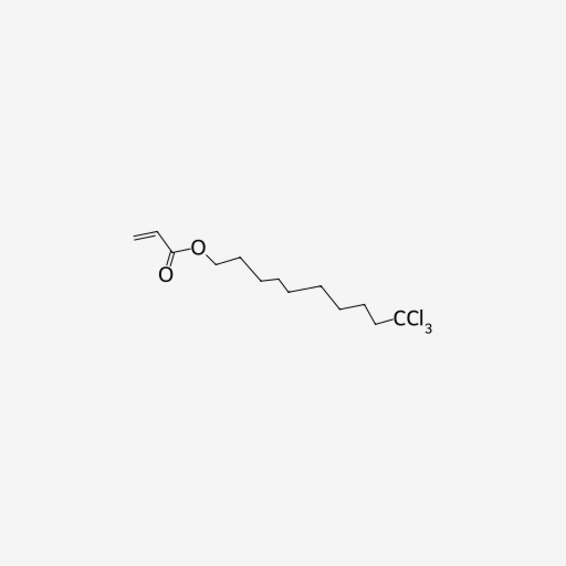 C=CC(=O)OCCCCCCCCCC(Cl)(Cl)Cl